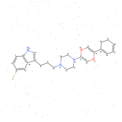 Fc1ccc2[nH]cc(CCCN3CCN(C4=COC(C5=CC=CCC5)=CO4)CC3)c2c1